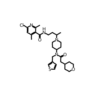 Cc1cc(Cl)nc(C)c1C(=O)NCCC(C)N1CCC(N(Cc2ccsc2)C(=O)CC2CCOCC2)CC1